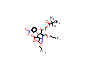 CCCOCC1=C(C(=O)O)[C@H](c2cccc([N+](=O)[O-])c2)C(C(=O)OCOC(=O)C(C)(C)C)=C(COCCC)N1